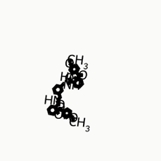 COc1ccc(C(=O)C2(O)CCCCC2C(=O)NCC2CCCC(CNC(=O)C3CCCCC3(O)C(=O)c3ccc(OC)cc3)C2)cc1